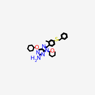 Cc1cc(SCc2ccccc2)ccc1-c1nc2c(OC3CCCCC3)nc(N)nc2n1C1CCCCO1